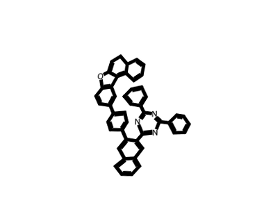 C1=CC2=c3c(oc4ccc(-c5ccc(-c6cc7ccccc7cc6-c6nc(-c7ccccc7)nc(-c7ccccc7)n6)cc5)cc34)=CCC2C=C1